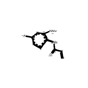 C=CC(=O)Nc1ccc(F)cc1NC